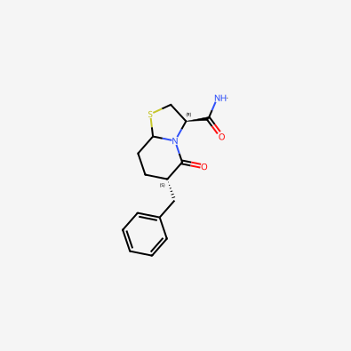 [NH]C(=O)[C@@H]1CSC2CC[C@@H](Cc3ccccc3)C(=O)N21